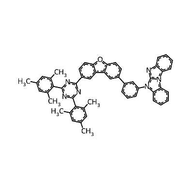 Cc1cc(C)c(-c2nc(-c3ccc4oc5ccc(-c6cccc(-n7c8ccccc8n8c9ccccc9nc78)c6)cc5c4c3)nc(-c3c(C)cc(C)cc3C)n2)c(C)c1